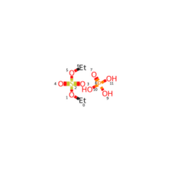 CCOS(=O)(=O)OCC.O=P(O)(O)O